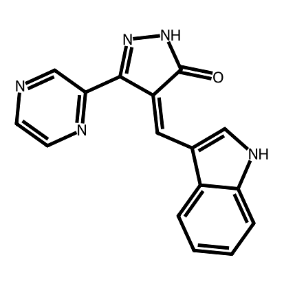 O=C1NN=C(c2cnccn2)C1=Cc1c[nH]c2ccccc12